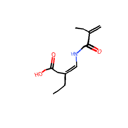 C=C(C)C(=O)NC=C(CC)C(=O)O